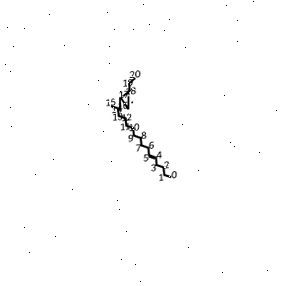 CCCCC=CCCCCCCCCC(C)[N]CCCC